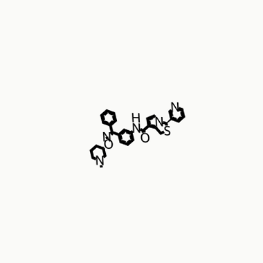 CN1CCCC(O/N=C(/c2ccccc2)c2cccc(NC(=O)c3ccn4c3CS[C@@H]4c3cccnc3)c2)C1